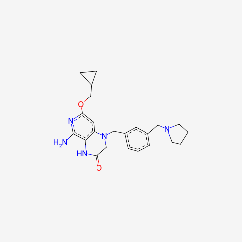 Nc1nc(OCC2CC2)cc2c1NC(=O)CN2Cc1cccc(CN2CCCC2)c1